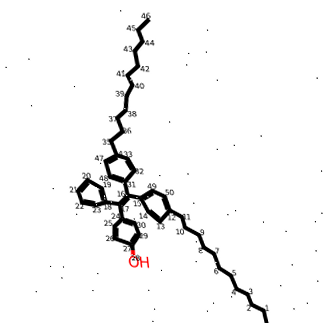 CCCCCCCCCCCCc1ccc(C(=C(c2ccccc2)c2ccc(O)cc2)c2ccc(CCCCCCCCCCCC)cc2)cc1